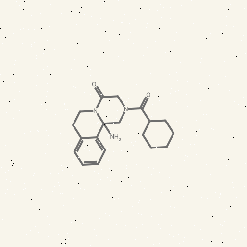 NC12CN(C(=O)C3CCCCC3)CC(=O)N1CCc1ccccc12